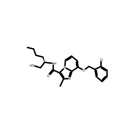 CCCC[C@H](CO)NC(=O)c1c(C)nc2c(OCc3ccccc3Cl)cccn12